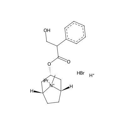 Br.CC(C)[N+]1(C)[C@@H]2CC[C@H]1C[C@@H](OC(=O)C(CO)c1ccccc1)C2.[H+]